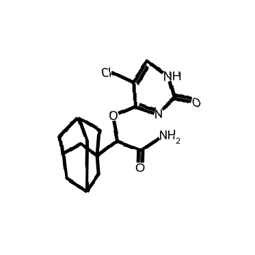 NC(=O)C(Oc1nc(=O)[nH]cc1Cl)C12CC3CC(CC(C3)C1)C2